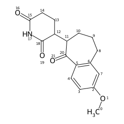 COc1ccc2c(c1)CCCC(C1CCC(=O)NC1=O)C2=O